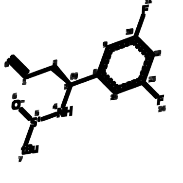 C=CC[C@H](N[S+]([O-])C(C)(C)C)c1cc(F)cc(F)c1